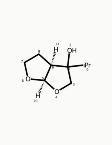 CC(C)C1(O)CO[C@H]2OCC[C@H]21